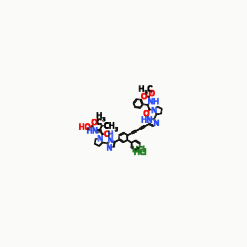 COC(=O)NC(C(=O)N1CCCC1c1ncc(C#CC#Cc2ccc(-c3cnc(C4CCCN4C(=O)[C@@H](NC(=O)O)C(C)C)[nH]3)cc2-c2ccccc2)[nH]1)c1ccccc1.Cl.Cl